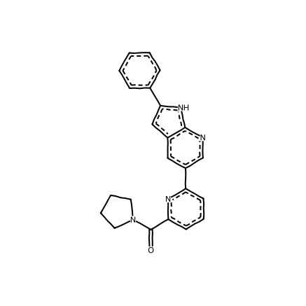 O=C(c1cccc(-c2cnc3[nH]c(-c4ccccc4)cc3c2)n1)N1CCCC1